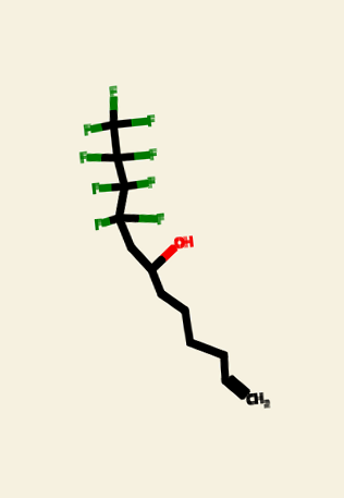 C=CCCCCC(O)CC(F)(F)C(F)(F)C(F)(F)C(F)(F)F